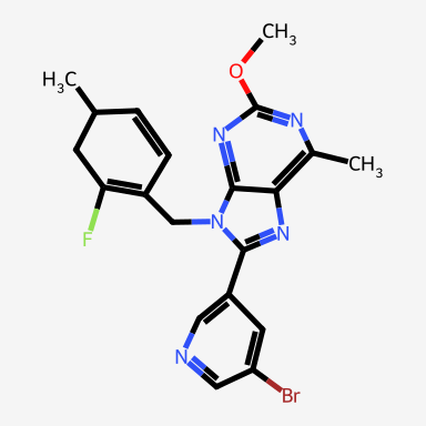 COc1nc(C)c2nc(-c3cncc(Br)c3)n(CC3=C(F)CC(C)C=C3)c2n1